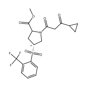 COC(=O)C1C[C@@H](S(=O)(=O)c2ccccc2C(F)(F)F)CN1C(=O)CC(=O)C1CC1